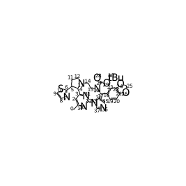 Cc1cc(C2C(c3nccs3)CCN2CCN(Cc2ccc3c(c2)OCO3)C(=O)OC(C)(C)C)nc(-n2ccnc2)n1